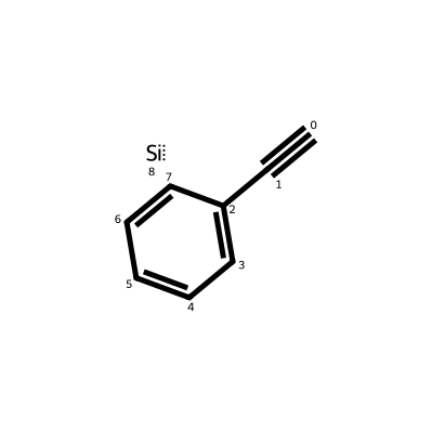 C#Cc1ccccc1.[Si]